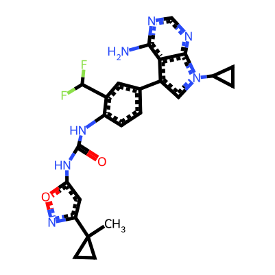 CC1(c2cc(NC(=O)Nc3ccc(-c4cn(C5CC5)c5ncnc(N)c45)cc3C(F)F)on2)CC1